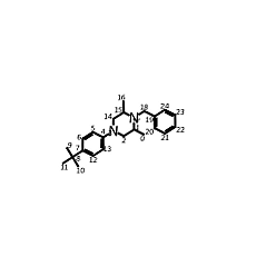 CC1CN(c2ccc(C(C)(C)C)cc2)CC(C)N1Cc1ccccc1